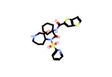 O=C(NC1(C(=O)N(C2CCCNCC2O)S(=O)(=O)c2ccccn2)CCCCC1)c1cc2sccc2s1